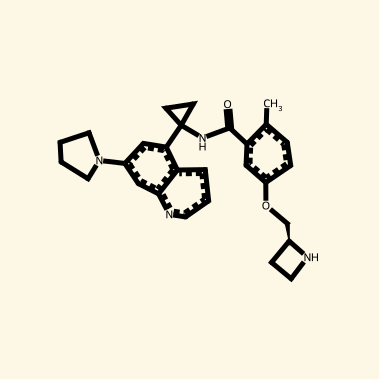 Cc1ccc(OC[C@@H]2CCN2)cc1C(=O)NC1(c2cc(N3CCCC3)cc3ncccc23)CC1